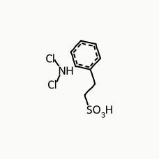 ClNCl.O=S(=O)(O)CCc1ccccc1